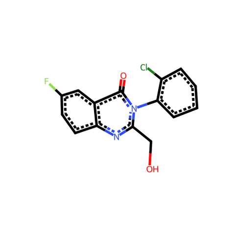 O=c1c2cc(F)ccc2nc(CO)n1-c1ccccc1Cl